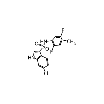 Cc1cc(F)c(NS(=O)(=O)c2c[nH]c3cc(Cl)ccc23)cc1F